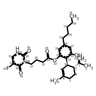 C=C(C)[C@@H]1CCC(C)=C[C@H]1c1c(O)cc(CCCCC)cc1OC(=O)CCCn1c(=O)[nH]cc(F)c1=O